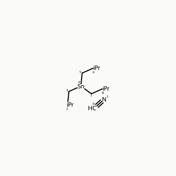 C#N.CC(C)[CH2][Sn]([CH2]C(C)C)[CH2]C(C)C